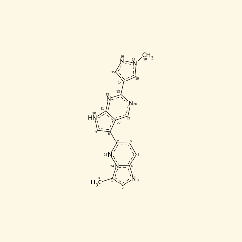 Cc1cnc2ccc(-c3c[nH]c4nc(-c5cnn(C)c5)ncc34)nn12